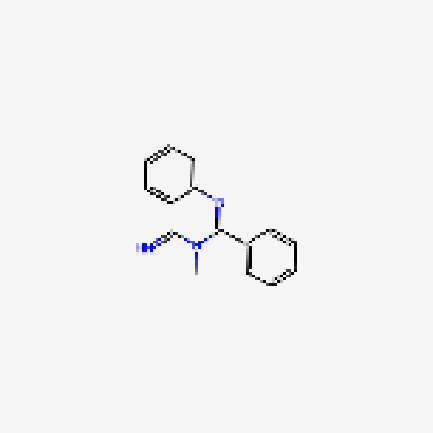 CN(C=N)C(=Nc1ccccc1)c1ccccc1